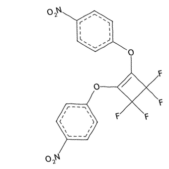 O=[N+]([O-])c1ccc(OC2=C(Oc3ccc([N+](=O)[O-])cc3)C(F)(F)C2(F)F)cc1